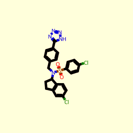 O=S(=O)(c1ccc(Cl)cc1)N(Cc1ccc(-c2nnn[nH]2)cc1)C1CCc2cc(Cl)ccc21